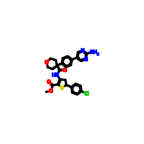 COC(=O)C1=C(NC(=O)C2(c3ccc(-c4cnc(N)nc4)cc3)CCOCC2)CC(c2ccc(Cl)cc2)S1